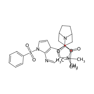 CN1C(=O)C2(CC3CCC(C2)N3C(=O)OC(C)(C)C)c2c1cnc1c2ccn1S(=O)(=O)c1ccccc1